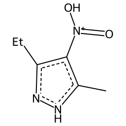 CCc1n[nH]c(C)c1[N+](=O)O